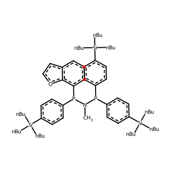 CCCC[Si](CCCC)(CCCC)c1ccc(P(c2ccc([Si](CCCC)(CCCC)CCCC)cc2)N(C)P(c2ccc([Si](CCCC)(CCCC)CCCC)cc2)c2cccc3ccoc23)cc1